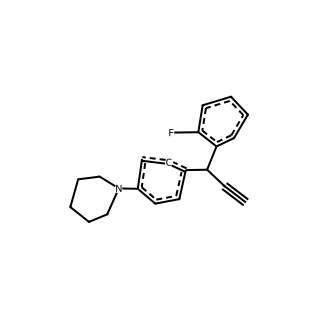 C#CC(c1ccc(N2CCCCC2)cc1)c1ccccc1F